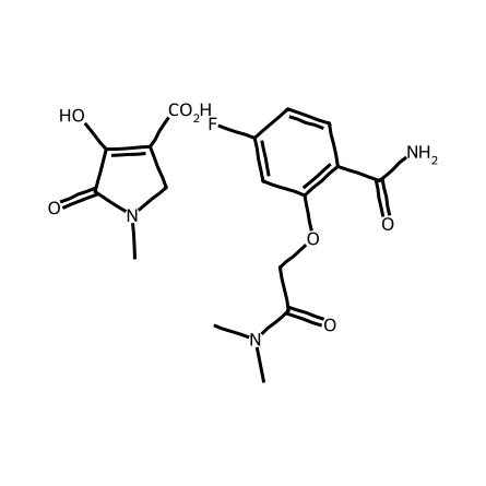 CN(C)C(=O)COc1cc(F)ccc1C(N)=O.CN1CC(C(=O)O)=C(O)C1=O